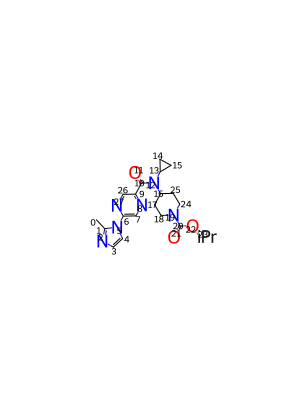 Cc1nccn1-c1cnc(C(=O)N(C2CC2)C2CCN(C(=O)OC(C)C)CC2)cn1